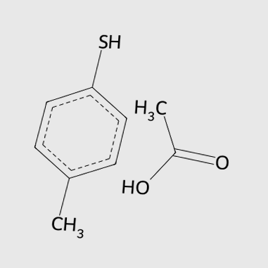 CC(=O)O.Cc1ccc(S)cc1